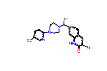 CCc1cc2ccc(C(C(C)C)N3CCN(c4ccc(C#N)cn4)CC3)cc2[nH]c1=O